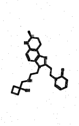 C[C@H]1CCc2c(ccc3c2nc(CCn2ccccc2=O)n3CCNCC2(O)CCC2)N1